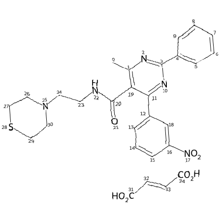 Cc1nc(-c2ccccc2)nc(-c2cccc([N+](=O)[O-])c2)c1C(=O)NCCN1CCSCC1.O=C(O)C=CC(=O)O